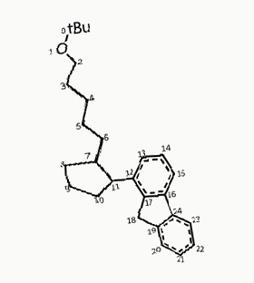 CC(C)(C)OCCCCCC1CCCC1c1cccc2c1Cc1ccccc1-2